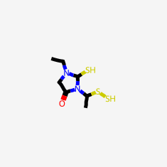 CCN1CC(=O)N(C(C)SS)C1S